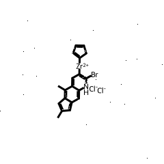 Cc1cc2cc3[nH]c(Br)[c]([Zr+2][C]4=CC=CC4)cc3c(C)c2c1.[Cl-].[Cl-]